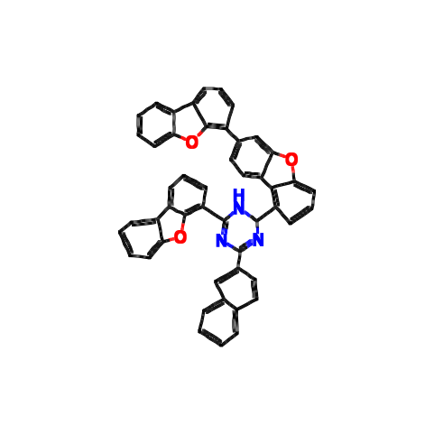 c1ccc2cc(C3=NC(c4cccc5oc6cc(-c7cccc8c7oc7ccccc78)ccc6c45)NC(c4cccc5c4oc4ccccc45)=N3)ccc2c1